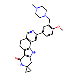 COc1ccc(-c2cc3c(cn2)CCc2c-3[nH]c3c2C(=O)NC2(CC2)C3)cc1CN1CCN(C)CC1